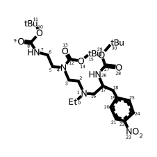 CCN(CCN(CCNC(=O)OC(C)(C)C)C(=O)OC(C)(C)C)CC(Cc1ccc([N+](=O)[O-])cc1)NC(=O)OC(C)(C)C